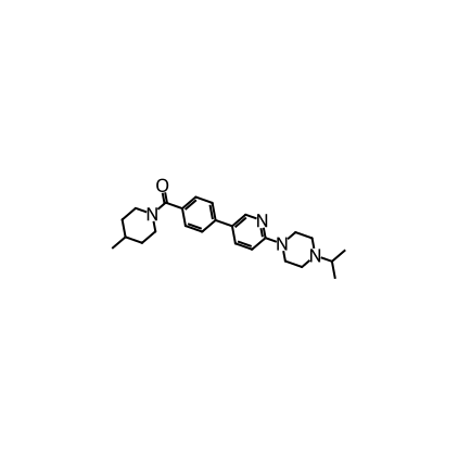 CC1CCN(C(=O)c2ccc(-c3ccc(N4CCN(C(C)C)CC4)nc3)cc2)CC1